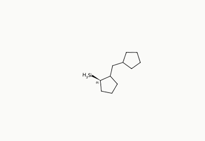 [SiH3][C@@H]1CCCC1CC1CCCC1